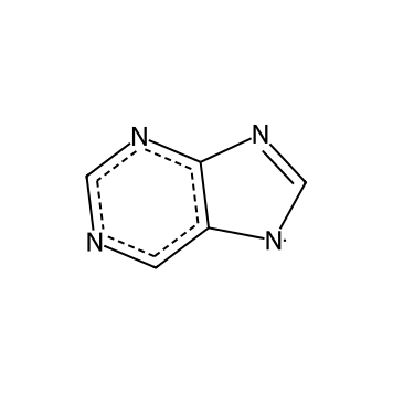 C1=Nc2ncncc2[N]1